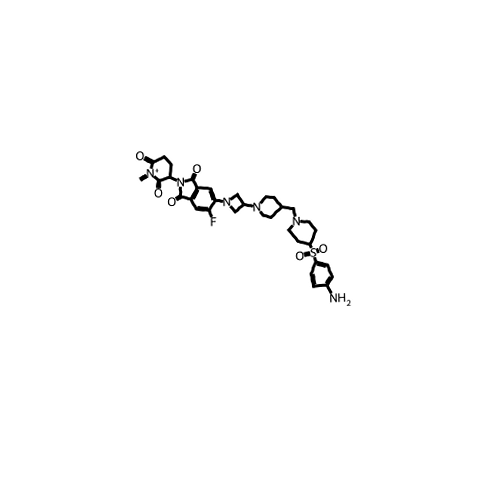 C=[N+]1C(=O)CCC(N2C(=O)c3cc(F)c(N4CC(N5CCC(CN6CCC(S(=O)(=O)c7ccc(N)cc7)CC6)CC5)C4)cc3C2=O)C1=O